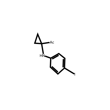 CC(=O)C1(Nc2ccc(I)cc2)CC1